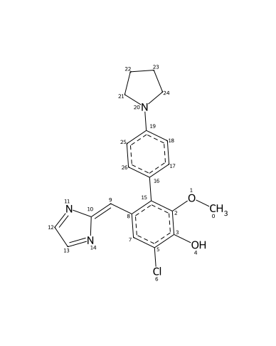 COc1c(O)c(Cl)cc(C=C2N=CC=N2)c1-c1ccc(N2CCCC2)cc1